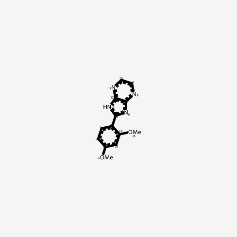 COc1ccc(-c2nc3nccnc3[nH]2)c(OC)c1